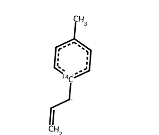 C=C[CH][14c]1ccc(C)cc1